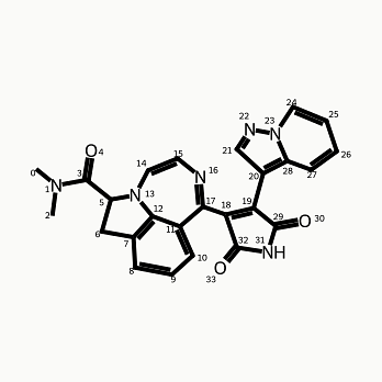 CN(C)C(=O)C1Cc2cccc3c2N1C=CN=C3C1=C(c2cnn3ccccc23)C(=O)NC1=O